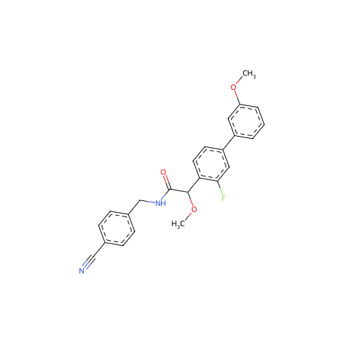 COc1cccc(-c2ccc(C(OC)C(=O)NCc3ccc(C#N)cc3)c(F)c2)c1